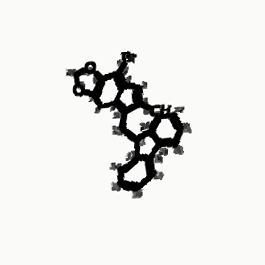 CC1=CC2=C(Br)C3=C(CC2=C1CC1c2ccccc2-c2ccccc21)OCO3